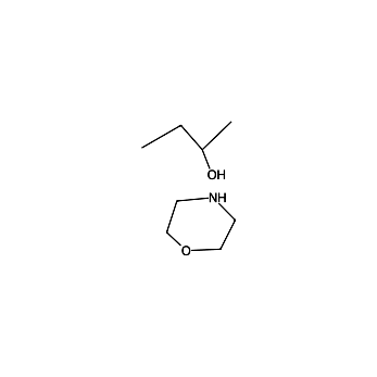 C1COCCN1.CCC(C)O